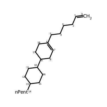 C=CCCCCC1=CCC(C2CCC(CCCCC)CC2)CC1